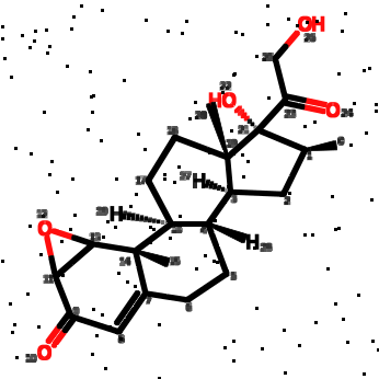 C[C@H]1C[C@H]2[C@@H]3CCC4=CC(=O)C5OC5[C@]4(C)[C@H]3CC[C@]2(C)[C@@]1(O)C(=O)CO